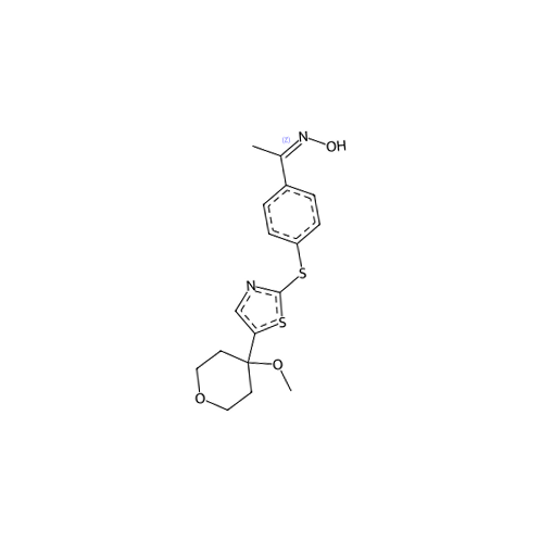 COC1(c2cnc(Sc3ccc(/C(C)=N\O)cc3)s2)CCOCC1